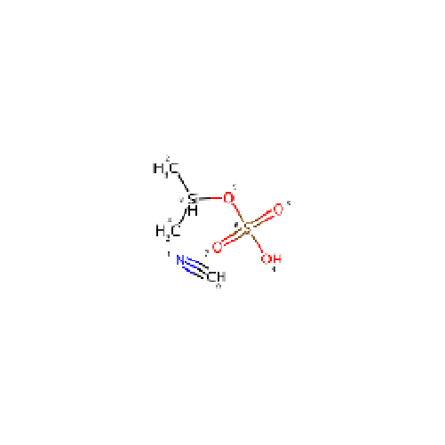 C#N.C[SiH](C)OS(=O)(=O)O